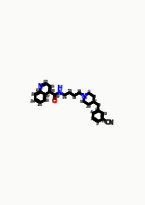 N#Cc1cccc(CC2CCN(CCCCNC(=O)c3ccnc4ccccc34)CC2)c1